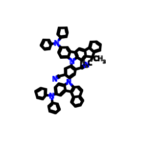 CC1(C)c2ccccc2-c2cc3c4cc(N(c5ccccc5)c5ccccc5)ccc4n(-c4cc(C#N)c(-n5c6ccc(N(c7ccccc7)c7ccccc7)cc6c6c7ccccc7ccc65)cc4C#N)c3cc21